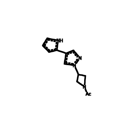 CC(=O)N1CC(n2cc(-c3ccc[nH]3)cn2)C1